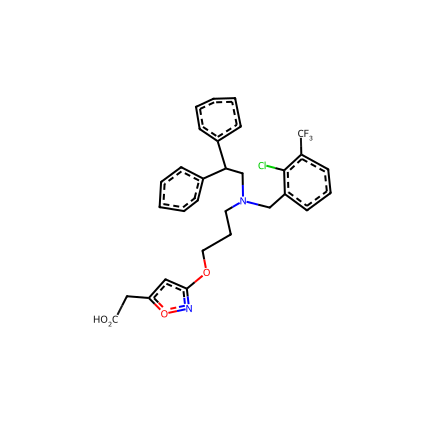 O=C(O)Cc1cc(OCCCN(Cc2cccc(C(F)(F)F)c2Cl)CC(c2ccccc2)c2ccccc2)no1